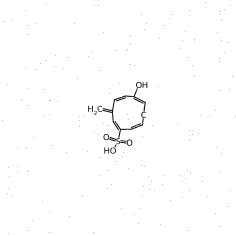 C=C1/C=C\C(O)=C/C/C=C\C(S(=O)(=O)O)=C/1